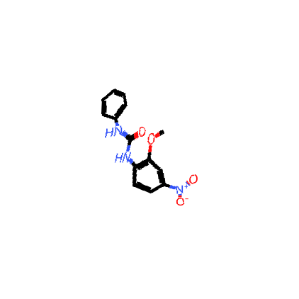 COc1cc([N+](=O)[O-])ccc1NC(=O)Nc1ccccc1